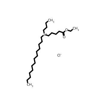 CCCCCCCCCCCCCC[S+](CCCC)CCCCC(=O)OCC.[Cl-]